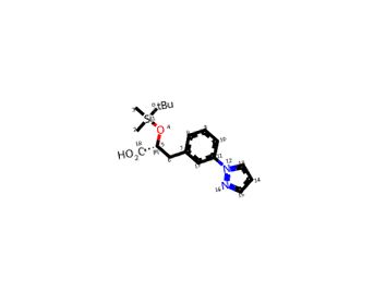 CC(C)(C)[Si](C)(C)O[C@H](Cc1cccc(-n2cccn2)c1)C(=O)O